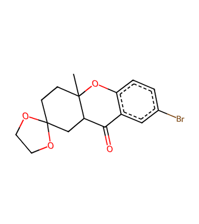 CC12CCC3(CC1C(=O)c1cc(Br)ccc1O2)OCCO3